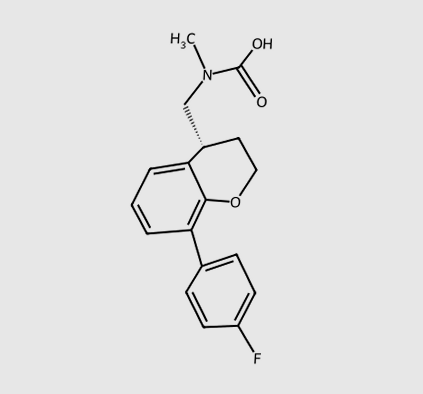 CN(C[C@@H]1CCOc2c(-c3ccc(F)cc3)cccc21)C(=O)O